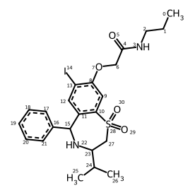 CCCNC(=O)COc1cc2c(cc1I)C(c1ccccc1)NC(C(C)C)CS2(=O)=O